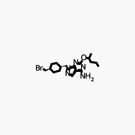 CCCC(C)Oc1nc(N)c2cnn(C[C@H]3CC[C@H](CBr)CC3)c2n1